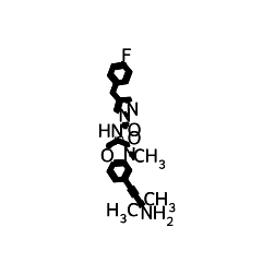 CN1C(=O)[C@@H](NC(=O)n2cc(Cc3ccc(F)cc3)cn2)COc2ccc(C#CC(C)(C)N)cc21